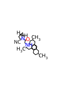 CC1CCc2c(cc3c(c2CC(C)NCC(=O)N2C(C#N)C[C@@H]4C[C@@H]42)CCC(C)C3)C1